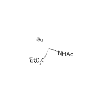 CCOC(=O)[C@@H](NC(C)=O)[C@H](C)CC